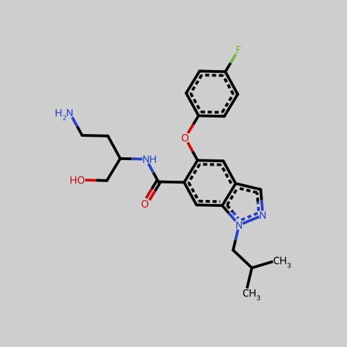 CC(C)Cn1ncc2cc(Oc3ccc(F)cc3)c(C(=O)NC(CO)CCN)cc21